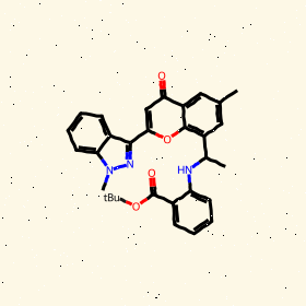 Cc1cc(C(C)Nc2ccccc2C(=O)OC(C)(C)C)c2oc(-c3nn(C)c4ccccc34)cc(=O)c2c1